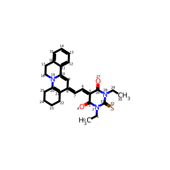 CCN1C(=O)C(=C/C=C2\C=C3c4ccccc4CCN3C3=C2CCCC3)C(=O)N(CC)C1=S